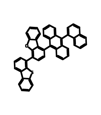 c1ccc2c(-c3c4ccccc4c(-c4ccc(-c5cccc6c5sc5ccccc56)c5oc6ccccc6c45)c4ccccc34)cccc2c1